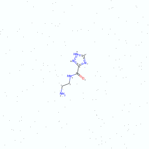 NCCNC(=O)c1nc[nH]n1